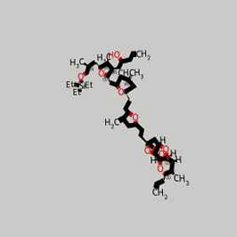 C=CCC(O)C[C@@H]1[C@@H](C)[C@@H](C[C@H](C)CO[Si](CC)(CC)CC)O[C@H]1CC1O[C@@H](CCC2OC(CC[C@@]34C[C@H]5O[C@H]6[C@@H](O3)[C@@H](C)[C@H](CC=C)O[C@H]6C5O4)CC2=C)C[C@@H](C)C1=C